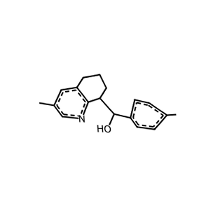 Cc1ccc(C(O)C2CCCc3cc(C)cnc32)cc1